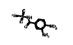 CCCCS(=O)(=O)NC(=O)c1ccc([N+](=O)[O-])c(N)c1